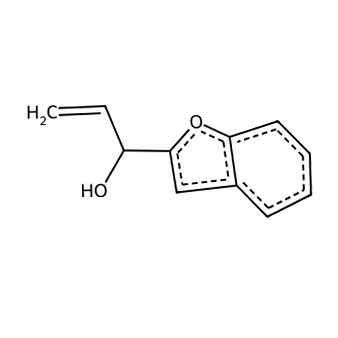 C=CC(O)c1cc2ccccc2o1